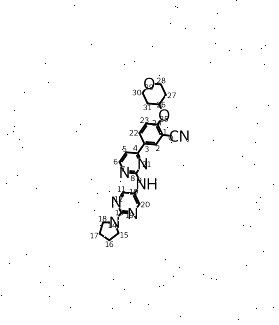 N#Cc1cc(-c2ccnc(Nc3cnc(N4CCCC4)nc3)n2)ccc1OC1CCOCC1